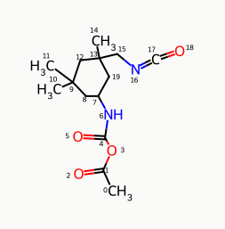 CC(=O)OC(=O)NC1CC(C)(C)CC(C)(CN=C=O)C1